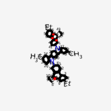 CCc1ccc2c(c1)[C@]13CCC[C@]1(CCC3)c1cc(-n3c4ccc(C)cc4c4cc5c(cc43)c3cc(C)ccc3n5-c3ccc4c(c3)[C@]35CCC[C@]3(CCC5)c3cc(CC)ccc3-4)ccc1-2